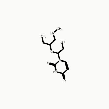 CCC(CNC)OC(CO)n1ccc(=O)[nH]c1=O